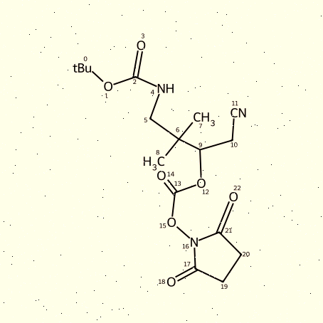 CC(C)(C)OC(=O)NCC(C)(C)C(CC#N)OC(=O)ON1C(=O)CCC1=O